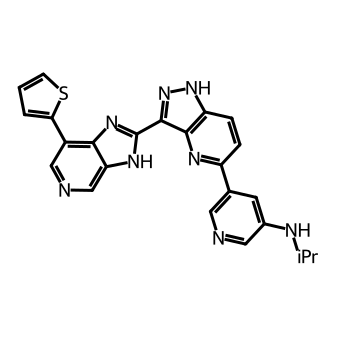 CC(C)Nc1cncc(-c2ccc3[nH]nc(-c4nc5c(-c6cccs6)cncc5[nH]4)c3n2)c1